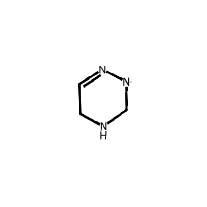 C1=N[N]CNC1